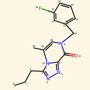 CCCc1nnc2c(=O)n(Cc3cccc(F)c3)cc(C)n12